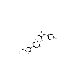 Cc1ccc(-c2noc(C)c2Cn2ncc(-c3cnn(C(F)F)c3)cc2=O)cn1